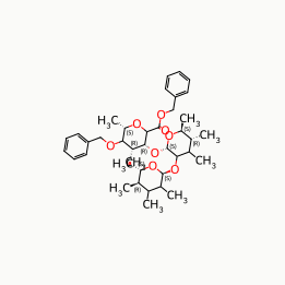 CC1C(C)[C@@H](C)[C@H](C)O[C@H]1OC1C(C)[C@@H](C)[C@H](C)O[C@H]1O[C@H]1C(C(=O)OCc2ccccc2)O[C@@H](C)C(OCc2ccccc2)[C@H]1C